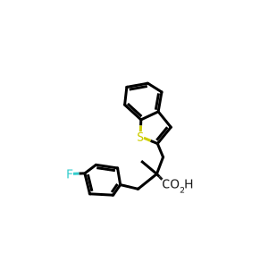 CC(Cc1ccc(F)cc1)(Cc1cc2ccccc2s1)C(=O)O